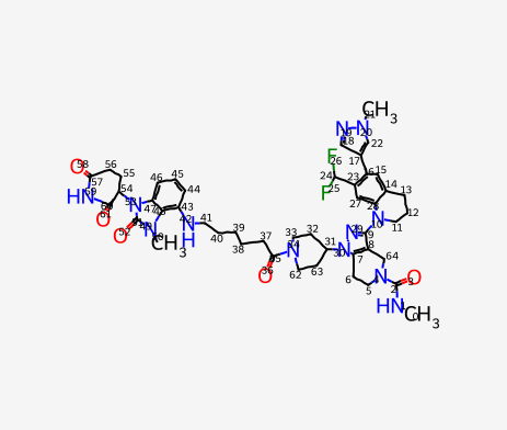 CNC(=O)N1CCc2c(c(N3CCCc4cc(-c5cnn(C)c5)c(C(F)F)cc43)nn2C2CCN(C(=O)CCCCCNc3cccc4c3n(C)c(=O)n4C3CCC(=O)NC3=O)CC2)C1